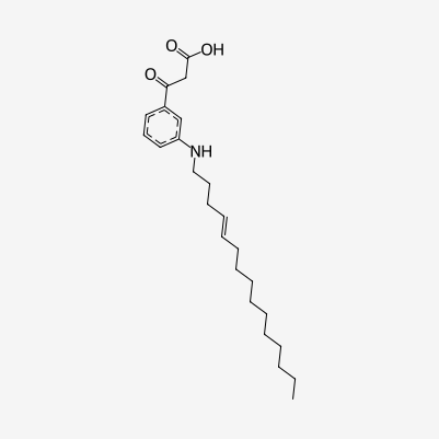 CCCCCCCCCC/C=C/CCCNc1cccc(C(=O)CC(=O)O)c1